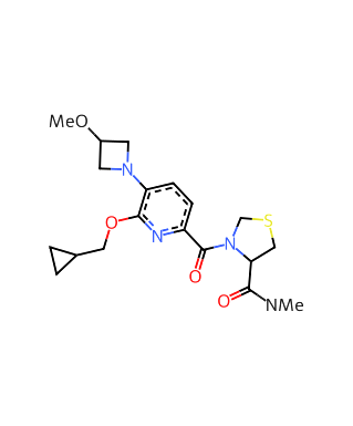 CNC(=O)C1CSCN1C(=O)c1ccc(N2CC(OC)C2)c(OCC2CC2)n1